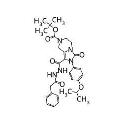 CC(C)Oc1ccc(-n2c(C(=O)NNC(=O)Cc3ccccc3)c3n(c2=O)CCN(C(=O)OC(C)(C)C)C3)cc1